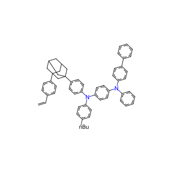 C=Cc1ccc(C23CC4CC(C2)CC(c2ccc(N(c5ccc(CCCC)cc5)c5ccc(N(c6ccccc6)c6ccc(-c7ccccc7)cc6)cc5)cc2)(C4)C3)cc1